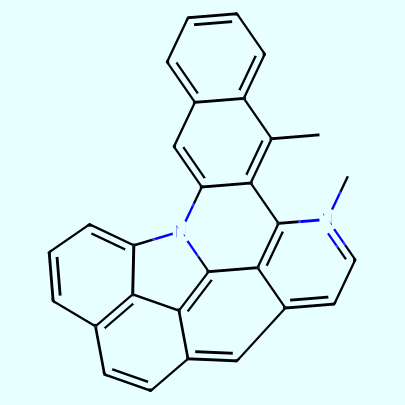 Cc1c2ccccc2cc2c1c1c3c(cc[n+]1C)cc1ccc4cccc5c4c1c3n25